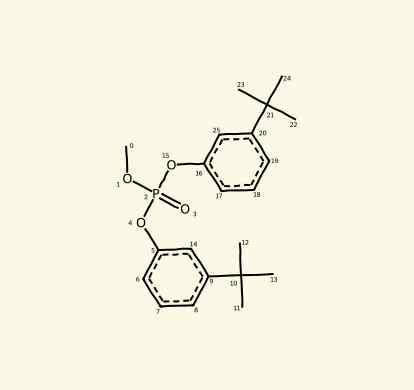 COP(=O)(Oc1cccc(C(C)(C)C)c1)Oc1cccc(C(C)(C)C)c1